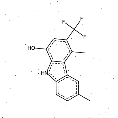 Cc1ccc2[nH]c3c(O)cc(C(F)(F)F)c(C)c3c2c1